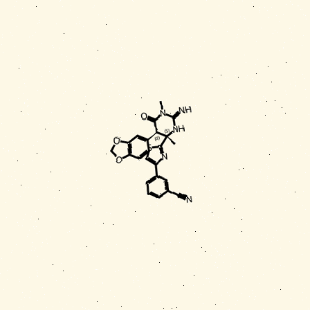 CN1C(=N)N[C@](C)(c2nc(-c3cccc(C#N)c3)cs2)[C@@H](c2ccc3c(c2)OCO3)C1=O